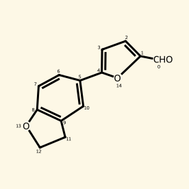 O=Cc1ccc(-c2ccc3c(c2)CCO3)o1